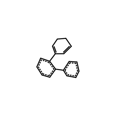 C1=CC(c2ccccc2-c2ccccc2)=CCC1